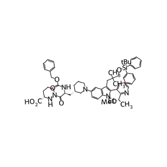 CCn1c(-c2cccnc2[C@H](C)OC)c(CC(C)(C)CO[Si](c2ccccc2)(c2ccccc2)C(C)(C)C)c2cc(N3CCC[C@@H](C[C@H](NC(=O)OCc4ccccc4)C(=O)N4CCC[C@@H](C(=O)O)N4)C3)ccc21